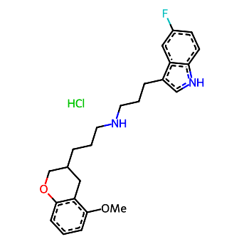 COc1cccc2c1CC(CCCNCCCc1c[nH]c3ccc(F)cc13)CO2.Cl